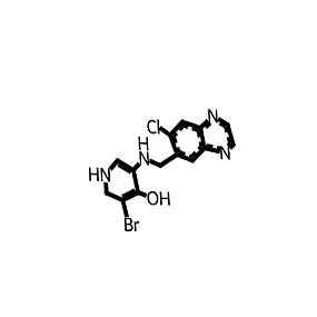 OC1=C(Br)CNC=C1NCc1cc2nccnc2cc1Cl